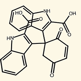 O=C1C=CC(=O)C(c2c(C(=O)O)[nH]c3ccccc23)(c2c(C(=O)O)[nH]c3ccccc23)C1